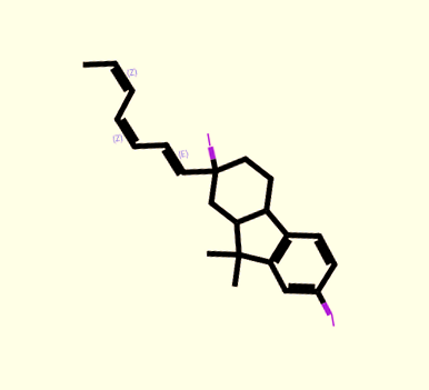 C\C=C/C=C\C=C\C1(I)CCC2c3ccc(I)cc3C(C)(C)C2C1